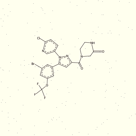 O=C1CN(C(=O)c2cc(-c3cc(Br)cc(OC(F)(F)F)c3)n(-c3ccc(Cl)nc3)n2)CCN1